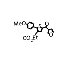 CCOC(=O)Cc1cc(C(=O)c2ccoc2)sc1-c1ccc(OC)cc1